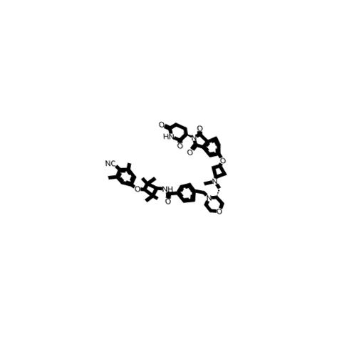 Cc1cc(OC2C(C)(C)C(NC(=O)c3ccc(CN4CCOC[C@H]4CN(C)C4CC(Oc5ccc6c(c5)C(=O)N([C@@H]5CCC(=O)NC5=O)C6=O)C4)cc3)C2(C)C)cc(C)c1C#N